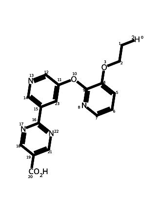 [2H]CCOc1cccnc1Oc1cncc(-c2ncc(C(=O)O)cn2)c1